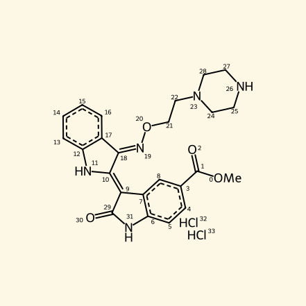 COC(=O)c1ccc2c(c1)/C(=C1/Nc3ccccc3/C1=N\OCCN1CCNCC1)C(=O)N2.Cl.Cl